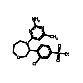 CCS(=O)(=O)c1ccc(C2COCCCN2c2cc(C)nc(N)n2)c(Cl)c1